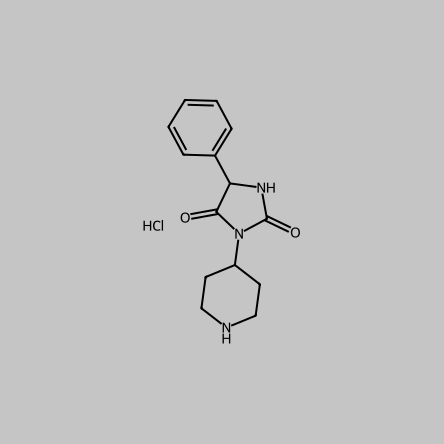 Cl.O=C1NC(c2ccccc2)C(=O)N1C1CCNCC1